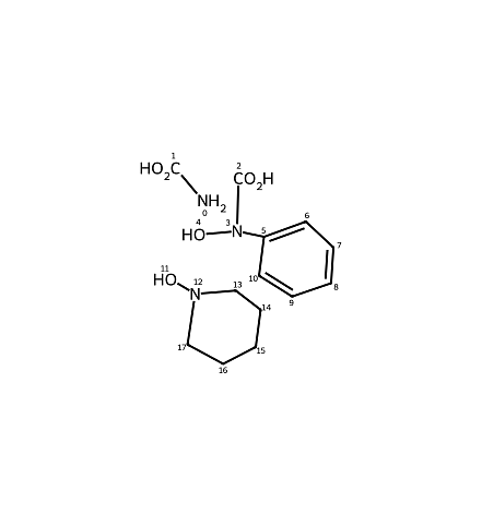 NC(=O)O.O=C(O)N(O)c1ccccc1.ON1CCCCC1